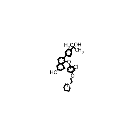 CC(C)(O)c1ccc(-c2ccc3cc(O)ccc3c2Oc2ccc(OCCN3CCCCC3)cc2)cc1.Cl